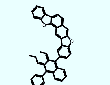 C/C=c1/c(-c2ccc3oc4cc5ccc6c7ccccc7oc6c5cc4c3c2)c2ccccc2c(-c2ccccc2)/c1=C/CC